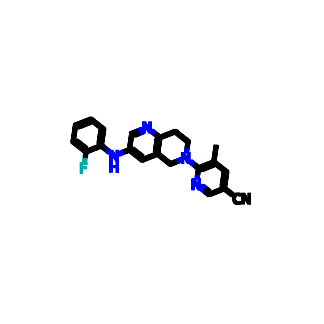 Cc1cc(C#N)cnc1N1CCc2ncc(Nc3ccccc3F)cc2C1